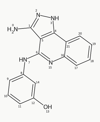 Nc1n[nH]c2c1c(Nc1cccc(O)c1)nc1ccccc12